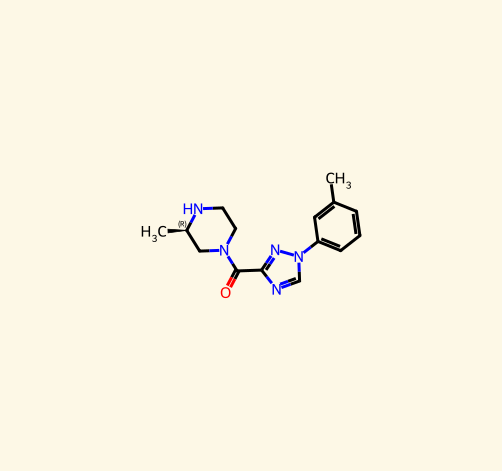 Cc1cccc(-n2cnc(C(=O)N3CCN[C@H](C)C3)n2)c1